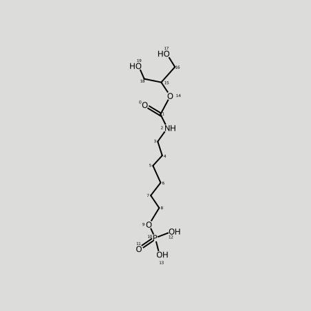 O=C(NCCCCCCOP(=O)(O)O)OC(CO)CO